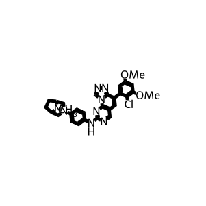 COc1cc(OC)c(Cl)c(-c2cc3cnc(Nc4ccc(N5CC6CCC(C5)N6C)cc4)nc3n3cnnc23)c1